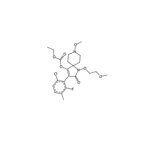 CCOC(=O)OC1=C(c2c(Cl)ccc(C)c2F)C(=O)N(OCCOC)C12CCN(OC)CC2